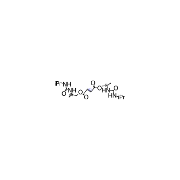 CC(C)NC(=O)N[C@H](C)COC(=O)/C=C/C(=O)OC[C@@H](C)NC(=O)NC(C)C